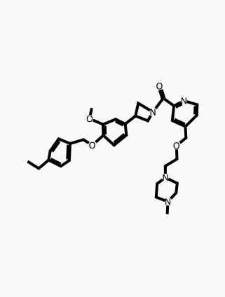 CCc1ccc(COc2ccc(C3CN(C(=O)c4cc(COCCN5CCN(C)CC5)ccn4)C3)cc2OC)cc1